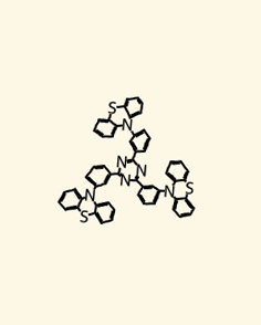 c1cc(-c2nc(-c3cccc(N4c5ccccc5Sc5ccccc54)c3)nc(-c3cccc(N4c5ccccc5Sc5ccccc54)c3)n2)cc(N2c3ccccc3Sc3ccccc32)c1